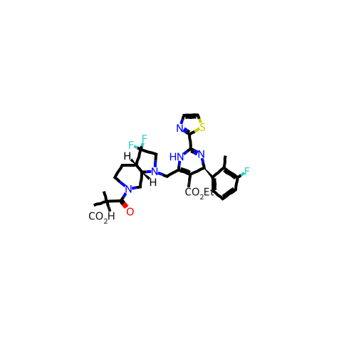 CCOC(=O)C1=C(CN2CC(F)(F)[C@H]3CCN(C(=O)C(C)(C)C(=O)O)C[C@H]32)NC(c2nccs2)=N[C@H]1c1cccc(F)c1C